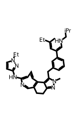 CC/C(C)=C/C(=C\NCC(C)C)c1cccc(Cc2c3c(nn2C)CCC2=C3/C=C/C=C(Nc3ccn(CC)n3)/N=C\2)c1